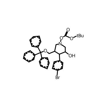 CC(C)(C)OC(=O)ON1CC(O)C(c2ccc(Br)cc2)C(COC(c2ccccc2)(c2ccccc2)c2ccccc2)C1